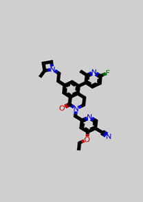 CCOc1cc(CN2CCc3c(cc(CCN4CCC4C)cc3-c3ccc(F)nc3C)C2=O)ncc1C#N